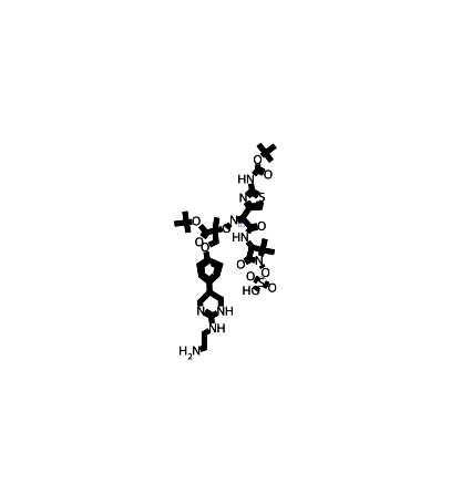 CC(C)(C)OC(=O)Nc1nc(/C(=N/OC(C)(COc2ccc(C3CN=C(NCCN)NC3)cc2)C(=O)OC(C)(C)C)C(=O)NC2C(=O)N(OS(=O)(=O)O)C2(C)C)cs1